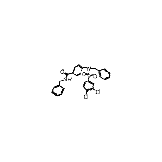 O=C(NCc1ccccc1)c1ccc(CN(Cc2ccccc2)S(=O)(=O)c2ccc(Cl)c(Cl)c2)cc1